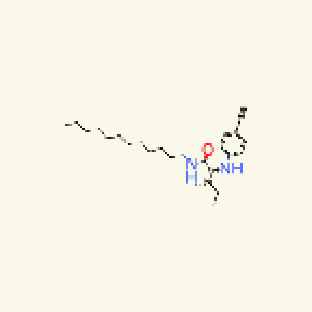 C#Cc1ccc(N[C@H](C(=O)NCCCCCCCCCCCC)[C@@H](C)CC)cc1